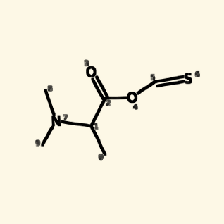 CC(C(=O)OC=S)N(C)C